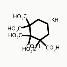 O=C(O)C1(C(=O)O)CCCC(C(=O)O)(C(=O)O)C1(C(=O)O)C(=O)O.[KH]